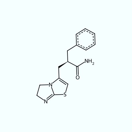 NC(=O)[C@@H](CC1=CSC2=NCCN12)Cc1ccccc1